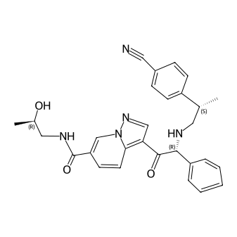 C[C@H](CN[C@@H](C(=O)c1cnn2cc(C(=O)NC[C@@H](C)O)ccc12)c1ccccc1)c1ccc(C#N)cc1